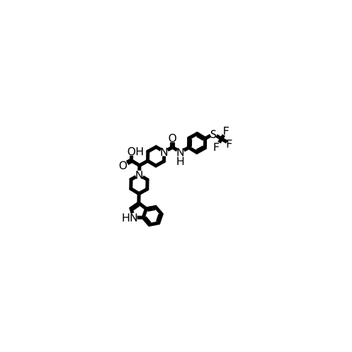 O=C(O)C(C1CCN(C(=O)Nc2ccc(SC(F)(F)F)cc2)CC1)N1CCC(c2c[nH]c3ccccc23)CC1